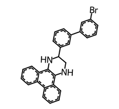 Brc1cccc(-c2cccc(C3CNc4c(c5ccccc5c5ccccc45)N3)c2)c1